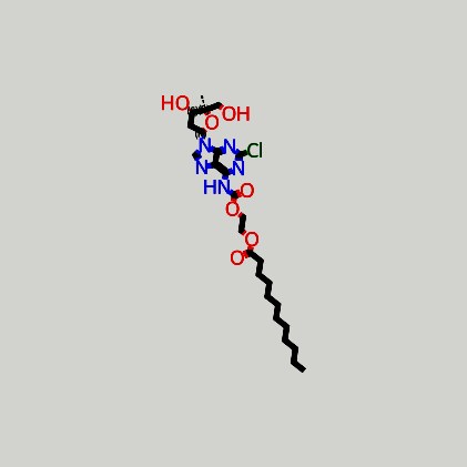 CCCCCCCCCCCC(=O)OCCOC(=O)Nc1nc(Cl)nc2c1ncn2[C@H]1C[C@H](O)[C@@](C)(CO)O1